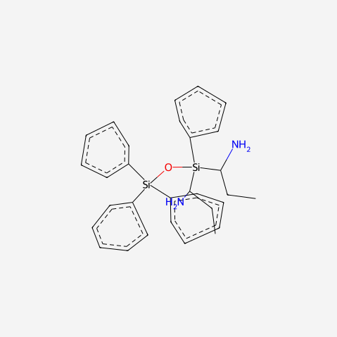 CCC(N)[Si](O[Si](c1ccccc1)(c1ccccc1)c1ccccc1)(c1ccccc1)C(N)CC